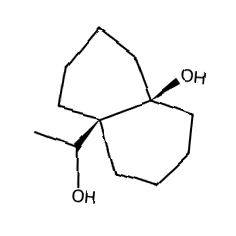 CC(O)[C@]12CCCC[C@@]1(O)CCCC2